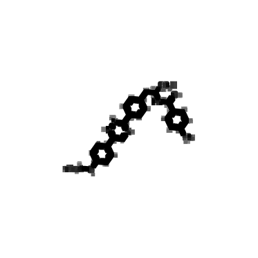 CCCCCCCOc1ccc(-c2cnc(-c3ccc(C[C@H](NC(=O)c4ccc(C(C)(C)C)cc4)C(=O)O)cc3)nn2)cc1